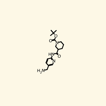 CC(C)(C)OC(=O)N1CCCC(C(=O)Nc2ccc(CN)cn2)C1